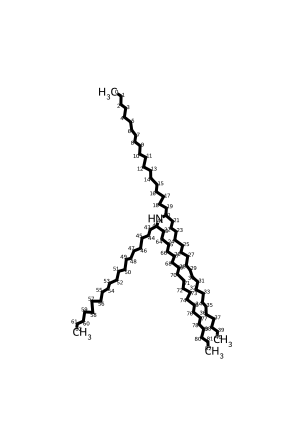 CCCCCCCCCCCCCCCCCCCCC(CCCCCCCCCCCCCCCCCCCC)NC(CCCCCCCCCCCCCCCCCCCC)CCCCCCCCCCCCCCCCCCCC